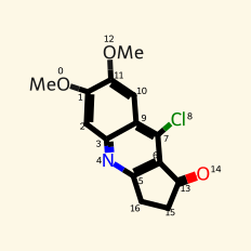 COc1cc2nc3c(c(Cl)c2cc1OC)C(=O)CC3